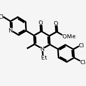 CCn1c(C)c(-c2ccc(Cl)nc2)c(=O)c(C(=O)OC)c1-c1ccc(Cl)c(Cl)c1